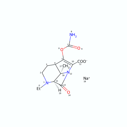 CCN1CCC2C(OC(N)=O)=C(C(=O)[O-])N3C(=O)[C@@H]1[C@@]23C.[Na+]